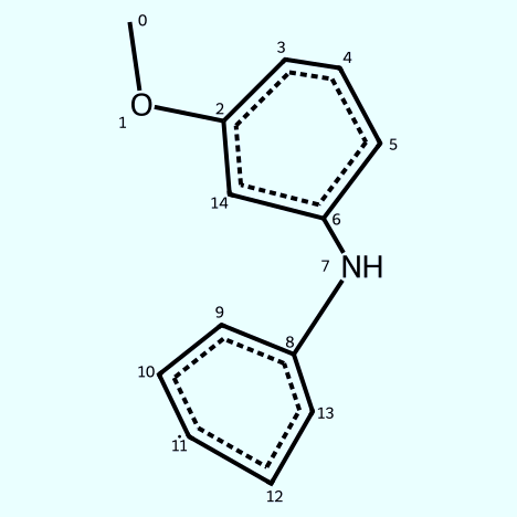 COc1cccc(Nc2cc[c]cc2)c1